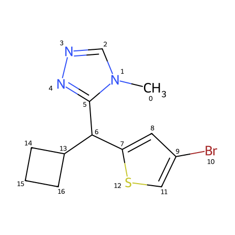 Cn1cnnc1C(c1cc(Br)cs1)C1CCC1